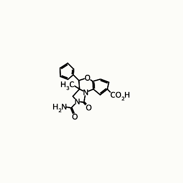 CC12CN(C(N)=O)C(=O)N1c1cc(C(=O)O)ccc1OC2c1ccccc1